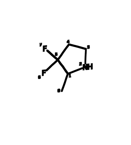 CC1NCCC1(F)F